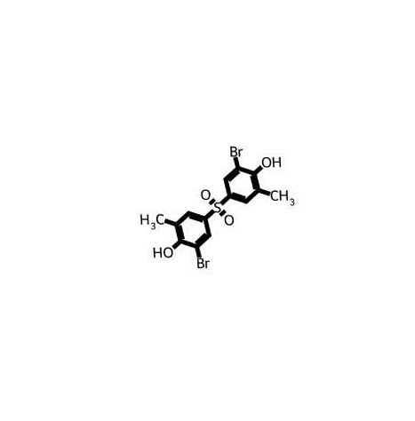 Cc1cc(S(=O)(=O)c2cc(C)c(O)c(Br)c2)cc(Br)c1O